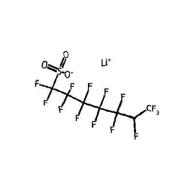 O=S(=O)([O-])C(F)(F)C(F)(F)C(F)(F)C(F)(F)C(F)(F)C(F)C(F)(F)F.[Li+]